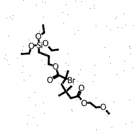 CCO[Si](CCCOC(=O)C(C)(Br)CC(C)(C)CC(=O)OCCOC)(OCC)OCC